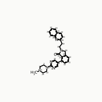 CN1CCN(c2ncc(-c3cccc4c3C(=O)N(CCc3ccc5ccccc5n3)C4)cn2)CC1